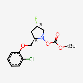 CC(C)(C)OC(=O)ON1C[C@@H](F)C[C@@H]1COc1ccccc1Cl